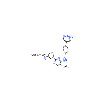 COc1cnc(-c2ccc3cc(C=O)[nH]c3c2)nc1Nc1ccc(-c2cn[nH]c2)cc1